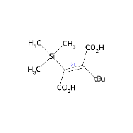 CC(C)(C)/C(C(=O)O)=C(\C(=O)O)[Si](C)(C)C